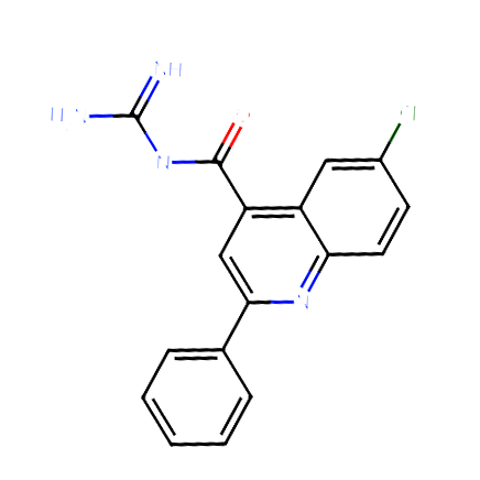 N=C(N)NC(=O)c1cc(-c2ccccc2)nc2ccc(Cl)cc12